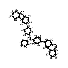 c1ccc(N(c2ccc(-c3ccc4oc5ccccc5c4c3)cc2)c2ccc(-c3ccc4oc5ccccc5c4c3)cc2)cc1